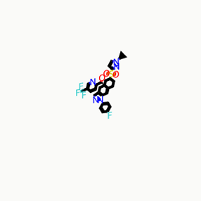 O=C(c1ccc(C(F)(F)F)cn1)[C@]12Cc3cnn(-c4ccc(F)cc4)c3C=C1CC[C@H](S(=O)(=O)c1ccn(C3CC3)n1)C2